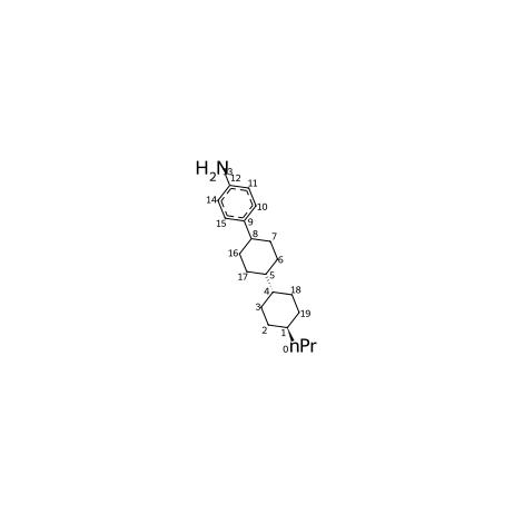 CCC[C@H]1CC[C@H](C2CCC(c3ccc(N)cc3)CC2)CC1